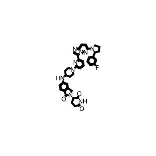 O=C1CCC(N2Cc3cc(NC4CCN(c5cccc(-c6cnc7ccc(N8CCCC8c8cccc(F)c8)nn67)n5)CC4)ccc3C2=O)C(=O)N1